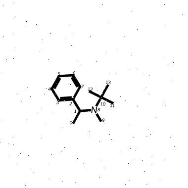 CC(c1ccccc1)N(C)C(C)(C)C